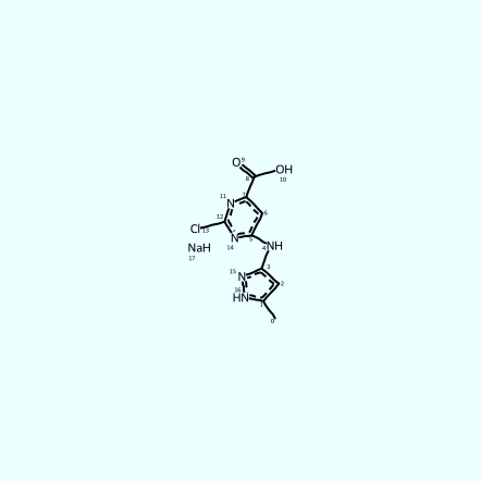 Cc1cc(Nc2cc(C(=O)O)nc(Cl)n2)n[nH]1.[NaH]